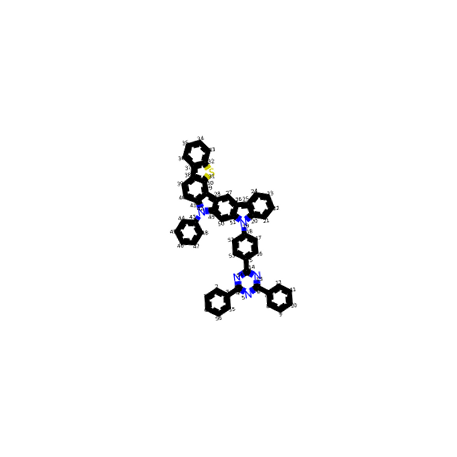 c1ccc(-c2nc(-c3ccccc3)nc(-c3ccc(-n4c5ccccc5c5cc6c7c8sc9ccccc9c8ccc7n(-c7ccccc7)c6cc54)cc3)n2)cc1